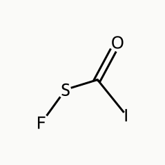 O=C(I)SF